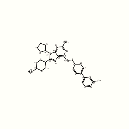 Nc1nc(NCc2ccc(-c3cccc(F)c3)cc2)c2nc(C3CCC(N)CC3)n(C3CCCC3)c2n1